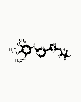 COc1cc(Nc2nccc(-c3cnc(NC(=O)C(F)(F)F)s3)n2)cc(OC)c1OC